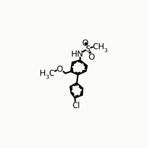 COCc1cc(NS(C)(=O)=O)ccc1-c1ccc(Cl)cc1